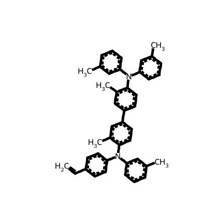 C=Cc1ccc(N(c2cccc(C)c2)c2ccc(-c3ccc(N(c4cccc(C)c4)c4cccc(C)c4)c(C)c3)cc2C)cc1